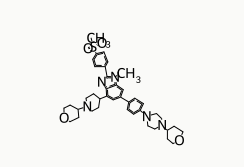 Cn1c(-c2ccc(S(C)(=O)=O)cc2)nc2c(C3CCN(C4CCOCC4)CC3)cc(-c3ccc(N4CCN(C5CCOCC5)CC4)cc3)cc21